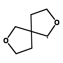 [CH]1OCCC12CCOC2